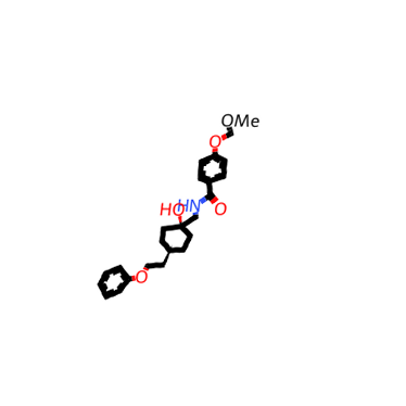 COCOc1ccc(C(=O)NC[C@]2(O)CC[C@@H](CCOc3ccccc3)CC2)cc1